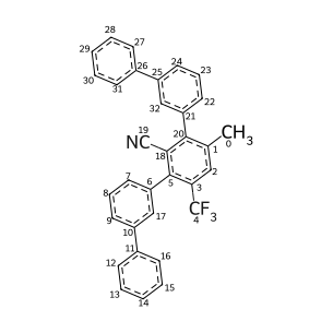 Cc1cc(C(F)(F)F)c(-c2cccc(-c3ccccc3)c2)c(C#N)c1-c1cccc(-c2ccccc2)c1